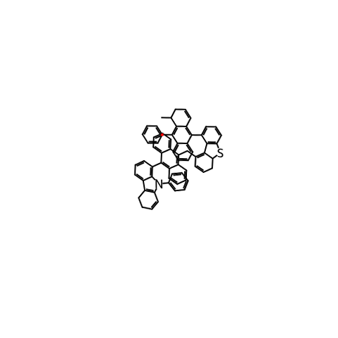 CC1CC=Cc2c1c(-c1ccccc1)c1ccccc1c2-c1cccc2c1C1=C(Cc3c4ccccc4c(-c4cccc5c6c(n(-c7ccccc7)c45)C=CCC6)c4ccccc34)C=CCC1S2